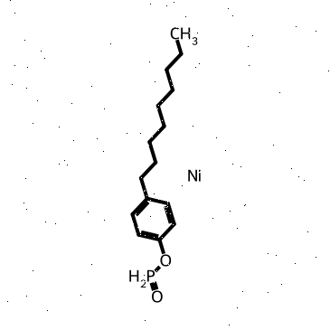 CCCCCCCCCc1ccc(O[PH2]=O)cc1.[Ni]